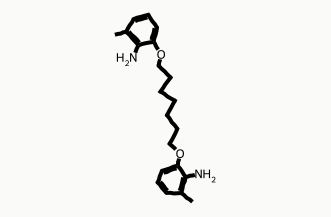 Cc1cccc(OCCCCCCCOc2cccc(C)c2N)c1N